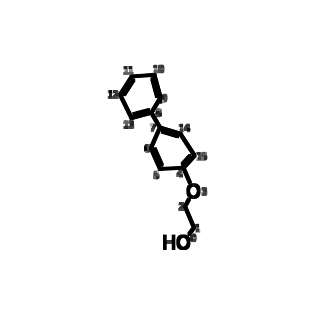 OCCOc1ccc(-c2[c]cccc2)cc1